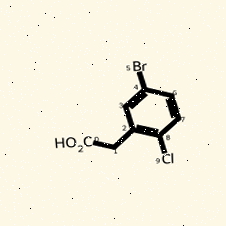 O=C(O)Cc1cc(Br)ccc1Cl